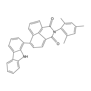 Cc1cc(C)c(N2C(=O)c3cccc4c(-c5cccc6c5[nH]c5ccccc56)ccc(c34)C2=O)c(C)c1